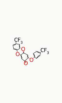 O=C1C=C(Oc2ccc(C(F)(F)F)cc2)C(=O)C=C1Oc1ccc(C(F)(F)F)cc1